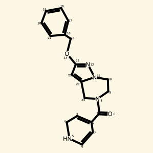 O=C(C1=CCNC=C1)N1CCn2nc(OCc3ccccc3)cc2C1